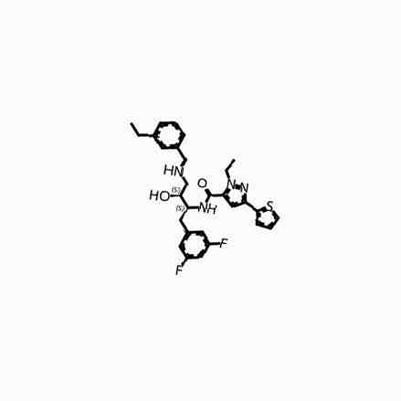 CCc1cccc(CNC[C@H](O)[C@H](Cc2cc(F)cc(F)c2)NC(=O)c2cc(-c3cccs3)nn2CC)c1